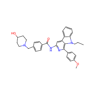 CCCn1c2ccccc2c2cc(NC(=O)c3ccc(CN4CCC(O)CC4)cc3)nc(-c3ccc(OC)cc3)c21